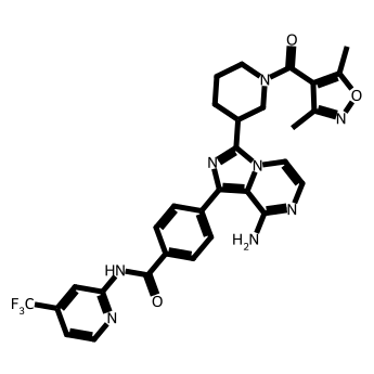 Cc1noc(C)c1C(=O)N1CCCC(c2nc(-c3ccc(C(=O)Nc4cc(C(F)(F)F)ccn4)cc3)c3c(N)nccn23)C1